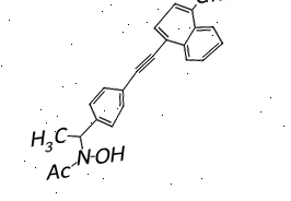 COc1ccc(C#Cc2ccc(C(C)N(O)C(C)=O)cc2)c2ccccc12